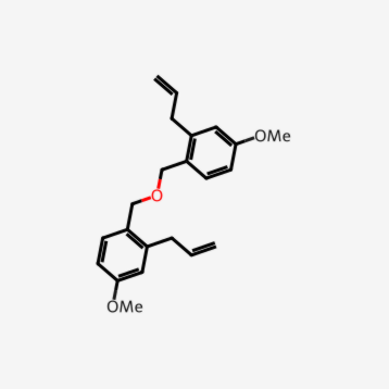 C=CCc1cc(OC)ccc1COCc1ccc(OC)cc1CC=C